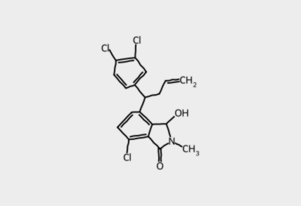 C=CCC(c1ccc(Cl)c(Cl)c1)c1ccc(Cl)c2c1C(O)N(C)C2=O